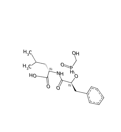 CC(C)C[C@H](NC(=O)[C@H](Cc1ccccc1)O[PH](=O)CO)C(=O)O